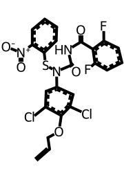 C=CCOc1c(Cl)cc(N(Sc2ccccc2[N+](=O)[O-])C(=O)NC(=O)c2c(F)cccc2F)cc1Cl